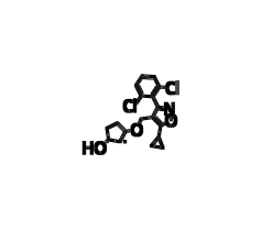 OC1[CH]C(OCc2c(-c3c(Cl)cccc3Cl)noc2C2CC2)CC1